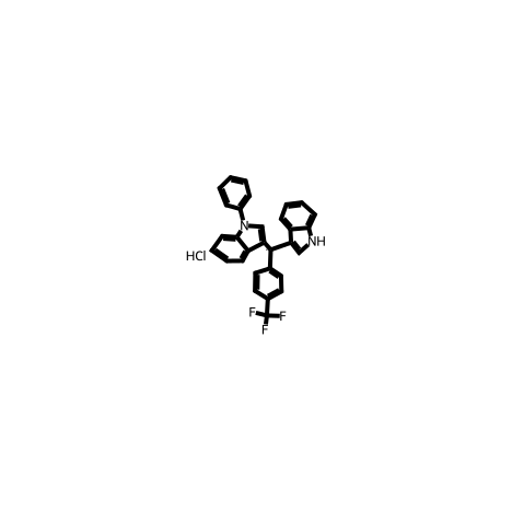 Cl.FC(F)(F)c1ccc([C](c2c[nH]c3ccccc23)c2cn(-c3ccccc3)c3ccccc23)cc1